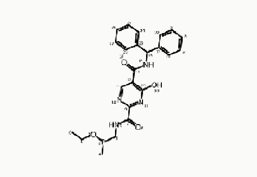 CCOP(C)CNC(=O)c1ncc(C(=O)NC(c2ccccc2)c2ccccc2)c(O)n1